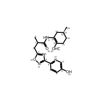 CC(Cc1nc(-c2ccc(O)cn2)no1)C(=O)NC1=C(C=O)CC[C@H](C)C1